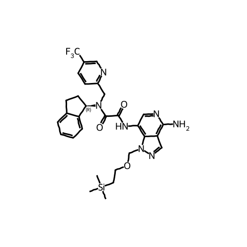 C[Si](C)(C)CCOCn1ncc2c(N)ncc(NC(=O)C(=O)N(Cc3ccc(C(F)(F)F)cn3)[C@@H]3CCc4ccccc43)c21